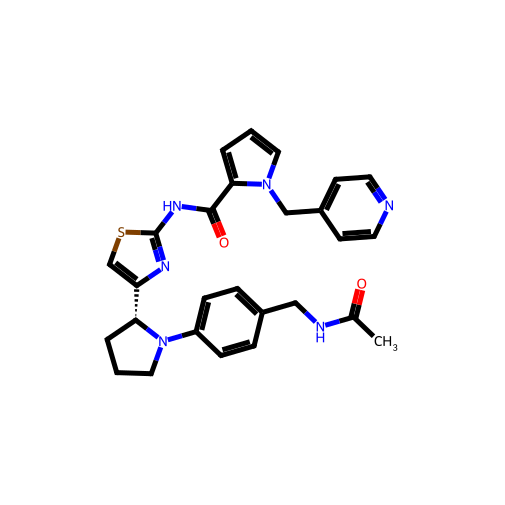 CC(=O)NCc1ccc(N2CCC[C@@H]2c2csc(NC(=O)c3cccn3Cc3ccncc3)n2)cc1